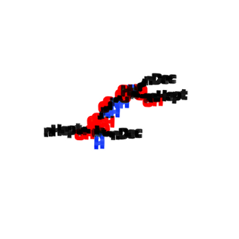 CCCCCCCCCCCCCC(=O)N[C@H](COCC[C@H](O)CCCCCCC)COP(=O)(O)OCCNC(=O)CC(=O)NCCOP(=O)(O)OC[C@@H](COCC[C@H](O)CCCCCCC)NC(=O)CCCCCCCCCCCCC